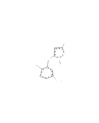 COc1ccc(N)c(Oc2cc(C(F)(F)F)nn2C)c1